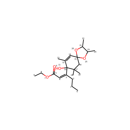 CCC/C(=C/C(=O)OCC)C1(O)C(C)=CC2(CC1(C)C)OC(C)C(C)O2